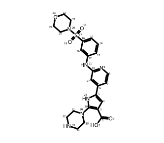 O=C(O)c1cc(-c2ccnc(Nc3cccc(S(=O)(=O)N4CCOCC4)c3)c2)[nH]c1N1CCNCC1